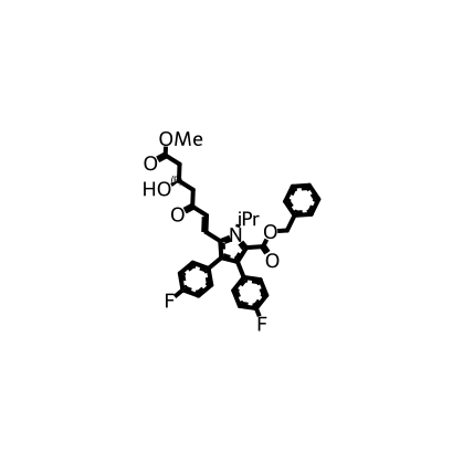 COC(=O)C[C@H](O)CC(=O)C=Cc1c(-c2ccc(F)cc2)c(-c2ccc(F)cc2)c(C(=O)OCc2ccccc2)n1C(C)C